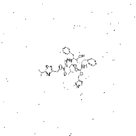 CC(C)c1nc(COC(=O)N[C@H](C(=O)N[C@@H](Cc2ccccc2)[C@@H](O)C[C@H](Cc2ccccc2)NC(=O)OCc2ccns2)C(C)C)cs1